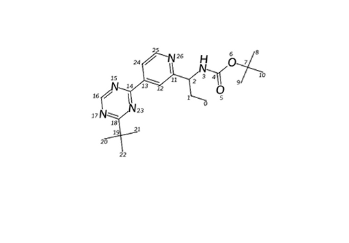 CCC(NC(=O)OC(C)(C)C)c1cc(-c2ncnc(C(C)(C)C)n2)ccn1